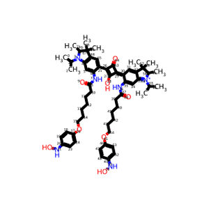 CC(C)N1c2cc(NC(=O)CCCCCCOc3ccc(NO)cc3)c(C3=C(O)/C(=c4/cc5c(cc4NC(=O)CCCCCCOc4ccc(NO)cc4)=[N+](C(C)C)C(C)C5(C)C)C3=O)cc2C(C)(C)C1C